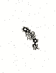 Cc1nccc(-c2cccc(NC(=S)NC(=O)c3cc4ccccc4o3)c2)n1